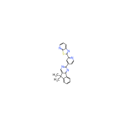 CC1(C)c2ccccc2-c2nc(-c3ccnc(-c4nc5cccnc5s4)c3)ncc21